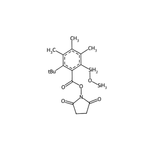 Cc1c(C)c([SiH2]O[SiH3])c(C(=O)ON2C(=O)CCC2=O)c(C(C)(C)C)c1C